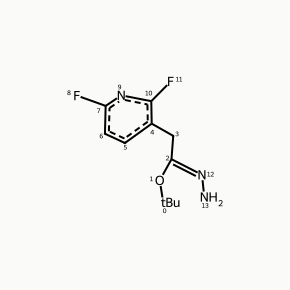 CC(C)(C)OC(Cc1ccc(F)nc1F)=NN